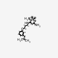 CN(C)Cc1cccc(OCCCNC2=NC(N)=NS(=O)(=O)N2C)c1